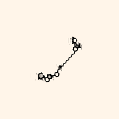 C[C@@H]1CNc2c(sc3ccc4nc(-c5cccc(CNC(=O)CCCCCCCCCc6ccc7c(c6)n(C)c(=O)n7C6CCC(=O)NC6=O)c5)ccc4c23)C(=O)N1